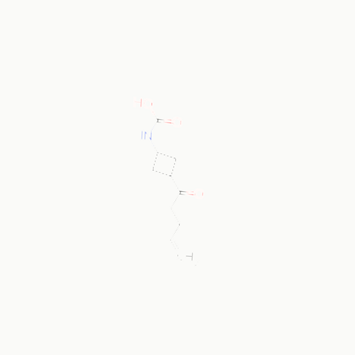 C=CCCC(=O)C1CC(NC(=O)O)C1